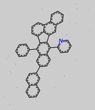 c1ccc(-c2c3c(c(-c4ccccn4)c4ccc(-c5ccc6ccccc6c5)cc24)-c2cc4ccccc4c4cccc-3c24)cc1